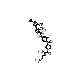 Cn1c(-c2cn(C3CC3)nc2C(F)(F)F)cnc1C(=O)Nc1ccc(C(=O)N2CCN(C(=O)C(N)CCCN)CC2)c(Cl)c1